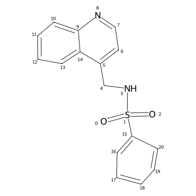 O=S(=O)(NCc1ccnc2ccccc12)c1ccccc1